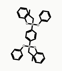 CCC[Si](Oc1ccccc1)(Oc1ccccc1)c1ccc([Si](CCC)(Oc2ccccc2)Oc2ccccc2)cc1